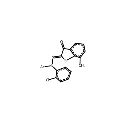 CC(=O)N(/N=C1\Sc2c(C)cccc2C1=O)c1ccccc1Cl